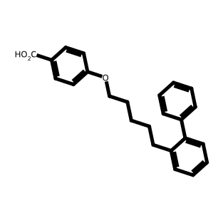 O=C(O)c1ccc(OCCCCCc2ccccc2-c2ccccc2)cc1